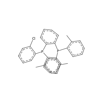 Cc1ccccc1P(c1ccccc1C)c1ccccc1P(c1ccccc1C)c1ccccc1Cl